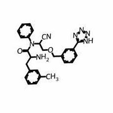 Cc1cccc(CC(N)C(=O)N(c2ccccc2)C(C#N)COCc2cccc(-c3nnn[nH]3)c2)c1